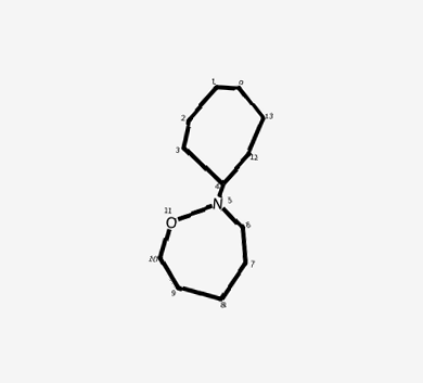 C1CCCC(N2CCCCCO2)CC1